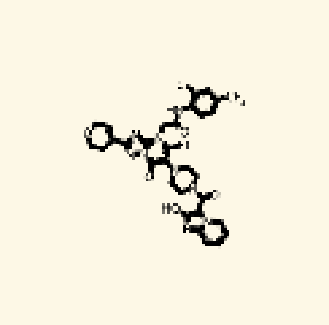 CCc1c(N2CCN(C(=O)c3c(O)nc4ccccn34)CC2)c(=O)n2nc(C3=CCOCC3)nc2n1CC(=O)Nc1ccc(C(F)(F)F)cc1Cl